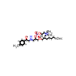 CCCCCCCCCCCCCCCCOCC(CNCC(=O)c1ccc(C)cc1)OP(=O)([O-])OCC[N+](C)(C)C